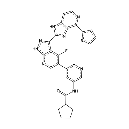 O=C(Nc1cncc(-c2cnc3[nH]nc(-c4nc5c(-c6cccs6)nccc5[nH]4)c3c2F)c1)C1CCCC1